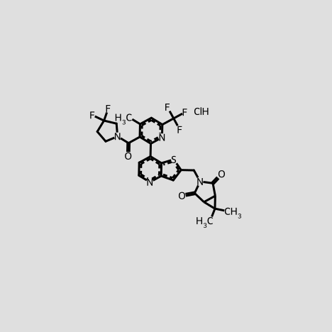 Cc1cc(C(F)(F)F)nc(-c2ccnc3cc(CN4C(=O)C5C(C4=O)C5(C)C)sc23)c1C(=O)N1CCC(F)(F)C1.Cl